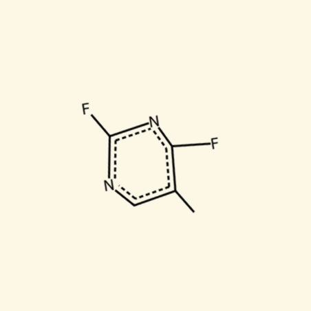 Cc1cnc(F)nc1F